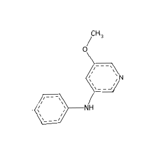 COc1cncc(Nc2cc[c]cc2)c1